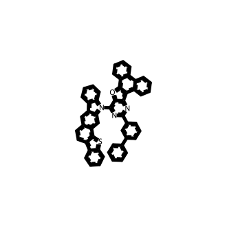 c1ccc(-c2cccc(-c3nc(-n4c5ccccc5c5cc6ccc7c8ccccc8sc7c6cc54)c4oc5c6ccccc6c6ccccc6c5c4n3)c2)cc1